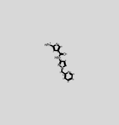 CCCc1cc(C(=O)Nc2ccn(Cc3ccccn3)n2)cs1